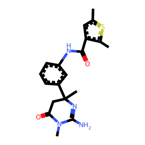 Cc1cc(C(=O)Nc2cccc(C3(C)CC(=O)N(C)C(N)=N3)c2)c(C)s1